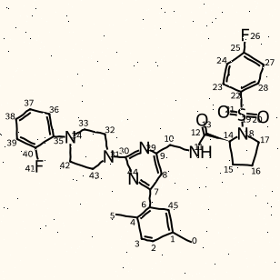 Cc1ccc(C)c(-c2cc(CNC(=O)[C@@H]3CCCN3S(=O)(=O)c3ccc(F)cc3)nc(N3CCN(c4ccccc4F)CC3)n2)c1